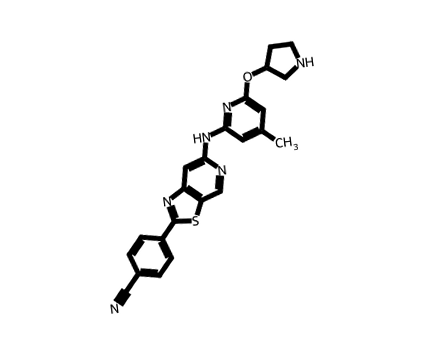 Cc1cc(Nc2cc3nc(-c4ccc(C#N)cc4)sc3cn2)nc(OC2CCNC2)c1